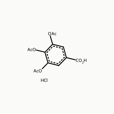 CC(=O)Oc1cc(C(=O)O)cc(OC(C)=O)c1OC(C)=O.Cl